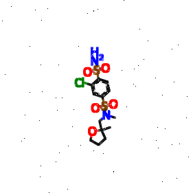 CN(CC1(C)CCCO1)S(=O)(=O)c1ccc(S(N)(=O)=O)c(Cl)c1